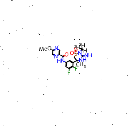 [2H]C([2H])([2H])N1C(=N)N[C@](C)(c2cc(NC(=O)c3cnc(OC)cn3)cc(F)c2F)CS1(=O)=O